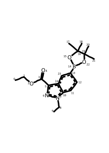 CCOC(=O)c1nn(CC)c2ccc(B3OC(C)(C)C(C)(C)O3)cc12